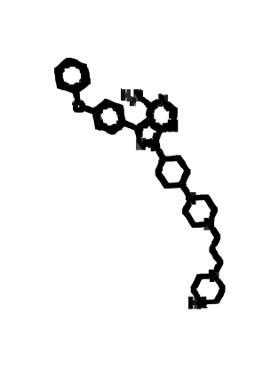 Nc1ncnc2c1c(-c1ccc(Oc3ccccc3)cc1)nn2C1CCC(N2CCN(CCCN3CCNCC3)CC2)CC1